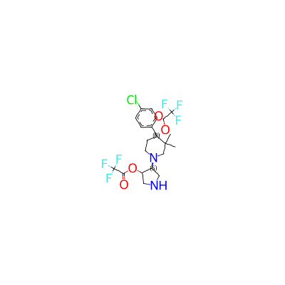 CC1(C)CN([C@H]2CNCC2OC(=O)C(F)(F)F)CC[C@@]1(OC(=O)C(F)(F)F)c1ccc(Cl)cc1